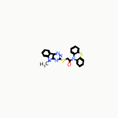 Cn1c2ccccc2c2nnc(SCC(=O)N3c4ccccc4Sc4ccccc43)nc21